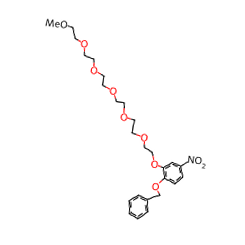 COCCOCCOCCOCCOCCOCCOc1cc([N+](=O)[O-])ccc1OCc1ccccc1